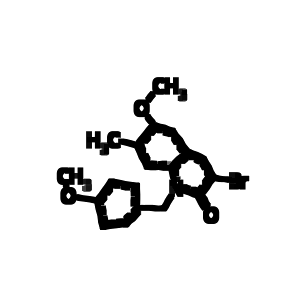 COc1ccc(Cn2c(=O)c(Br)cc3cc(OC)c(C)cc32)cc1